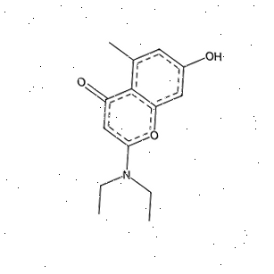 CCN(CC)c1cc(=O)c2c(C)cc(O)cc2o1